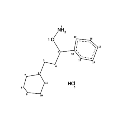 Cl.NOC(CCC1CCCCC1)c1ccccc1